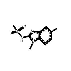 Cc1ccc2c(c1)nc(NS(C)(=O)=O)n2C